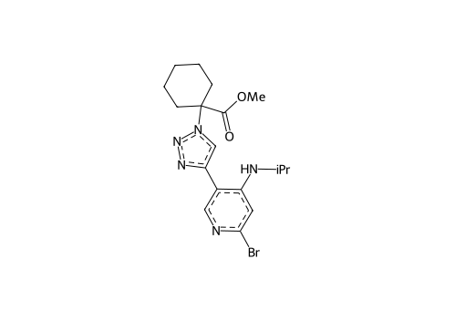 COC(=O)C1(n2cc(-c3cnc(Br)cc3NC(C)C)nn2)CCCCC1